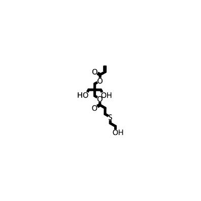 C=CC(=O)OCC(CO)(CO)COC(=O)CCSCCO